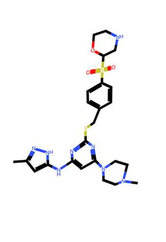 Cc1cc(Nc2cc(N3CCN(C)CC3)nc(SCc3ccc(S(=O)(=O)C4CNCCO4)cc3)n2)[nH]n1